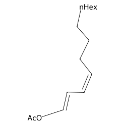 CCCCCCCCC/C=C\C=COC(C)=O